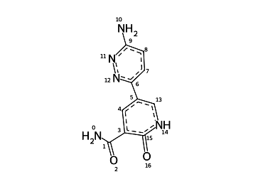 NC(=O)c1cc(-c2ccc(N)nn2)c[nH]c1=O